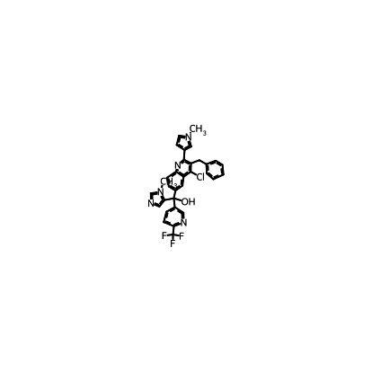 Cn1ccc(-c2nc3ccc(C(O)(c4ccc(C(F)(F)F)nc4)c4cncn4C)cc3c(Cl)c2Cc2ccccc2)c1